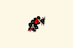 FC(F)(F)c1cc(N(c2ccc3c(c2)C2(c4ccccc4-c4ccccc42)c2cc(N(c4cc(C(F)(F)F)cc(C(F)(F)F)c4)c4ccccc4-c4ccccc4)c4ccccc4c2-3)c2ccccc2-c2ccccc2)cc(C(F)(F)F)c1